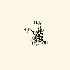 CCCCOC(=O)Oc1ccc(C[C@](N)(C[C@H](C)OC(=O)C(C)C)C(=O)O)cc1OC(=O)OCCCC